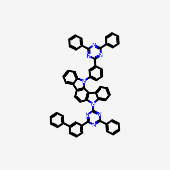 c1ccc(-c2cccc(-c3nc(-c4ccccc4)nc(-n4c5ccccc5c5c4ccc4c6ccccc6n(-c6cccc(-c7nc(-c8ccccc8)nc(-c8ccccc8)n7)c6)c45)n3)c2)cc1